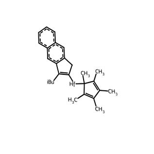 CCC(C)C1=[C]([Hf][C]2(C)C(C)=C(C)C(C)=C2C)Cc2cc3ccccc3cc21